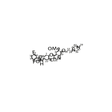 COc1cc2c(Oc3ccc(NS(=O)(=O)c4cc(F)ccc4F)cc3Cl)ccnc2cc1OCCCN1CCN(C)CC1